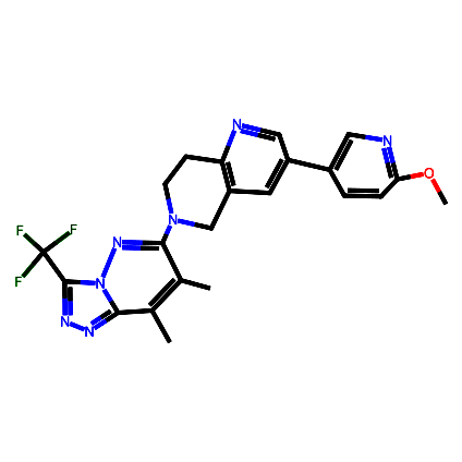 COc1ccc(-c2cnc3c(c2)CN(c2nn4c(C(F)(F)F)nnc4c(C)c2C)CC3)cn1